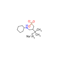 CC(C)(C)C(CNC1CCCCC1)CS(=O)(=O)[O-].[Na+]